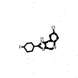 FC1CCC(c2nc3cnc4ccc(Cl)cc4c3[nH]2)CC1